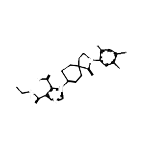 CCNC(=O)c1ncn(C2CCC3(CC2)CCN(c2cc(C)c(F)cc2Cl)C3=O)c1C(N)=O